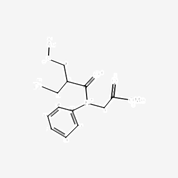 COC(=O)CN(C(=O)C(CSC(C)=O)CC(C)C)c1ccccc1